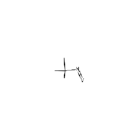 CC(C)(C)[N]=[V]